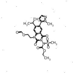 CCOC(=O)N(n1c(=O)c2cc(-c3ccnn3C)c(C(C)C)cc2n(CCOC=O)c1=O)S(C)(=O)=O